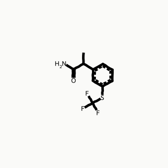 CC(C(N)=O)c1cccc(SC(F)(F)F)c1